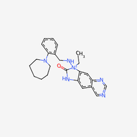 CC[N+]1(NCc2ccccc2N2CCCCCC2)C(=O)Nc2cc3cncnc3cc21